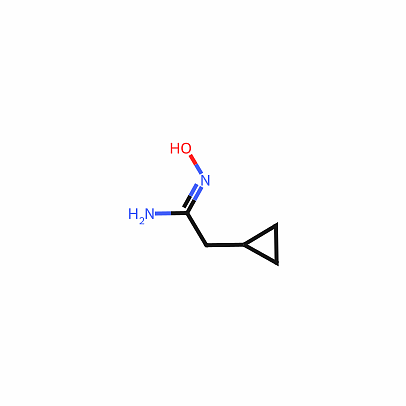 NC(CC1CC1)=NO